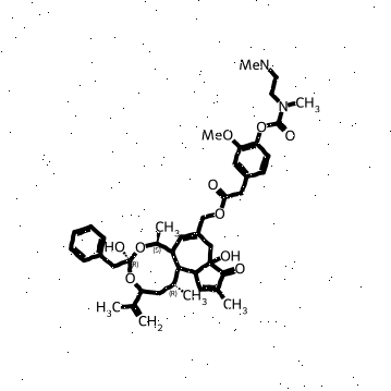 C=C(C)C1C[C@@H](C)C2C(C=C(COC(=O)Cc3ccc(OC(=O)N(C)CCNC)c(OC)c3)CC3(O)C(=O)C(C)=CC23)[C@H](C)O[C@](O)(Cc2ccccc2)O1